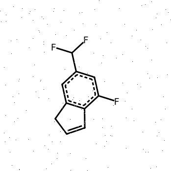 Fc1cc(C(F)F)cc2c1C=CC2